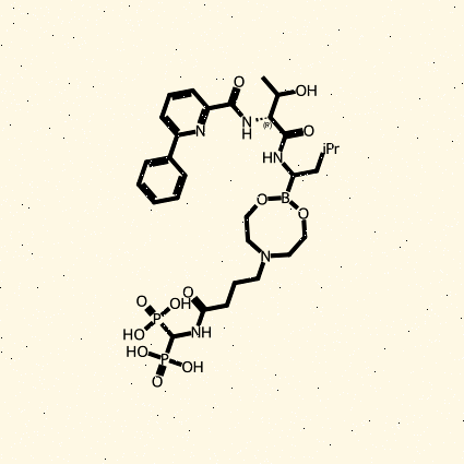 CC(C)CC(NC(=O)[C@H](NC(=O)c1cccc(-c2ccccc2)n1)C(C)O)B1OCCN(CCCC(=O)NC(P(=O)(O)O)P(=O)(O)O)CCO1